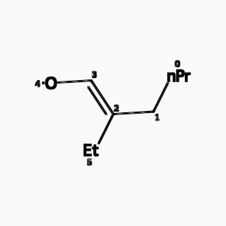 CCCCC(=C[O])CC